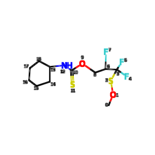 COSC(F)(F)C(F)COC(=S)NC1CCCCC1